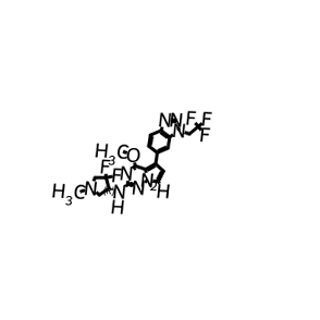 [2H]c1cc(-c2ccc3nnn(CC(F)(F)F)c3c2)c2c(OC)nc(N[C@@H]3CN(C)CC3(F)F)nn12